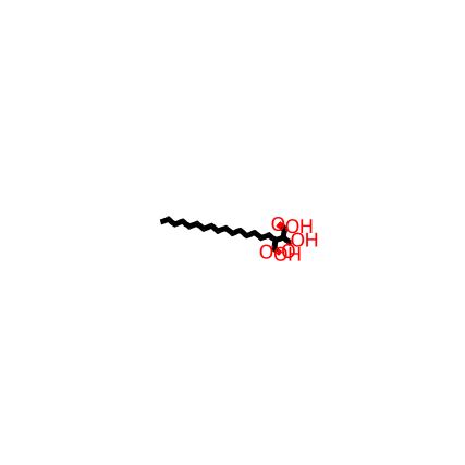 CCCCCCCCCCCCCCCCC(C(=O)O)C(C(=O)O)C(=O)O